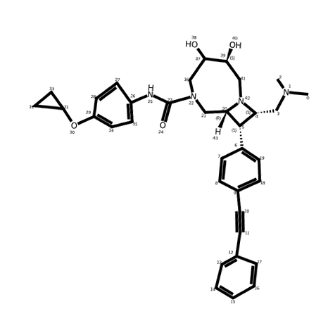 CN(C)C[C@@H]1[C@H](c2ccc(C#Cc3ccccc3)cc2)[C@@H]2CN(C(=O)Nc3ccc(OC4CC4)cc3)CC(O)[C@@H](O)CN12